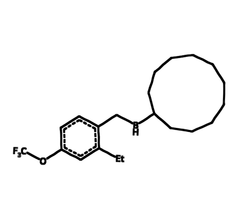 CCc1cc(OC(F)(F)F)ccc1CBC1CCCCCCCCCC1